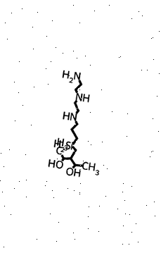 CC(O)C(C[SiH2]CCCNCCNCCN)C(C)O